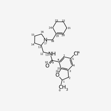 CC1Cc2cc(Cl)cc(C(=O)NCC3CCCN3CC3=CCCCC3)c2O1